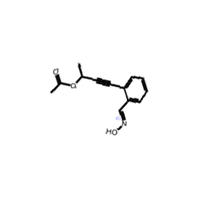 CC(=O)OC(C)C#Cc1ccccc1/C=N/O